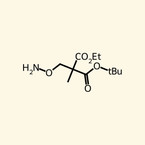 CCOC(=O)C(C)(CON)C(=O)OC(C)(C)C